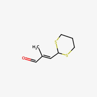 C/C(C=O)=C\C1SCCCS1